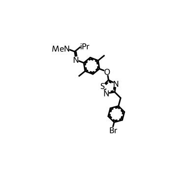 CNC(=Nc1cc(C)c(Oc2nc(Cc3ccc(Br)cc3)ns2)cc1C)C(C)C